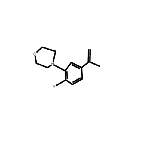 C=C(C)c1ccc(F)c(N2CCOCC2)c1